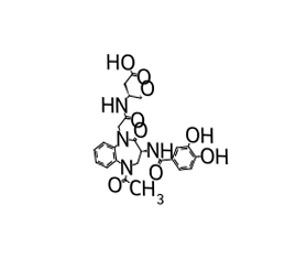 CC(=O)N1C[C@H](NC(=O)c2ccc(O)c(O)c2)C(=O)N(CC(=O)N[C@H](C=O)CC(=O)O)c2ccccc21